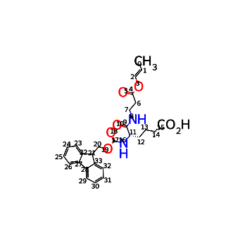 C/C=C/OC(=O)CCNC(=O)[C@H](CCCC(=O)O)NC(=O)OCC1c2ccccc2-c2ccccc21